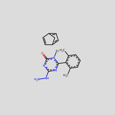 C1=CC2=CC=C1C2.CCn1c(-c2c(C)cccc2C)nc(NN)nc1=O